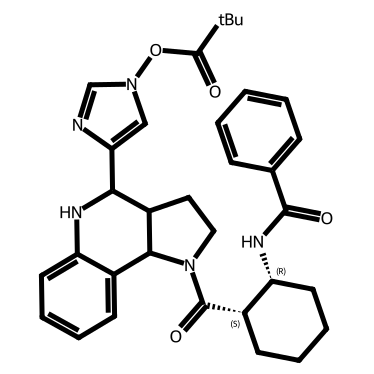 CC(C)(C)C(=O)On1cnc(C2Nc3ccccc3C3C2CCN3C(=O)[C@H]2CCCC[C@H]2NC(=O)c2ccccc2)c1